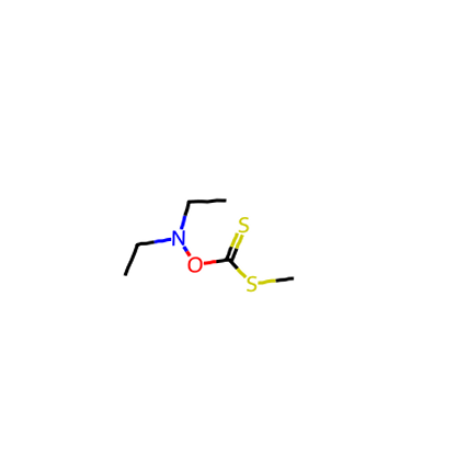 CCN(CC)OC(=S)SC